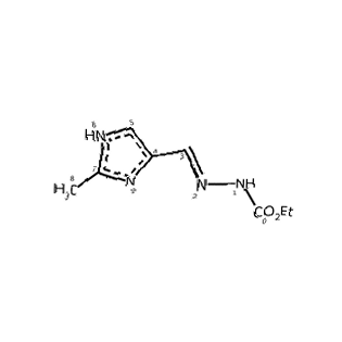 CCOC(=O)NN=Cc1c[nH]c(C)n1